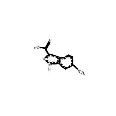 O=C(O)c1n[nH]c2cc(Cl)ccc12